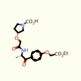 CCOC(=O)COc1ccc(C(=O)[C@H](C)NC(=O)CO[C@@H]2CCN(C(=O)O)C2)cc1